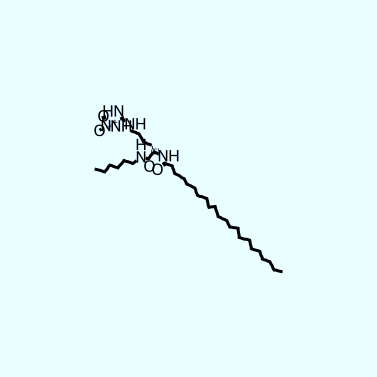 CCCCCCCCCCCCCCCCCCCCCC(=O)N[C@@H](CCCCNC(=N)N[N+](=O)[O-])C(=O)NCCCCCC